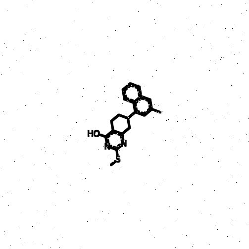 CSc1nc(O)c2c(n1)CC(c1cc(C)cc3ccccc13)CC2